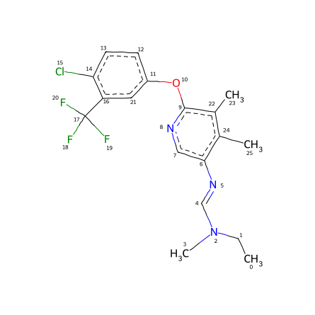 CCN(C)/C=N/c1cnc(Oc2ccc(Cl)c(C(F)(F)F)c2)c(C)c1C